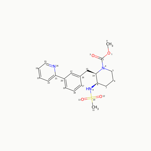 COC(=O)N1CCC[C@@H](NS(C)(=O)=O)[C@H]1Cc1cccc(-c2ccccn2)c1